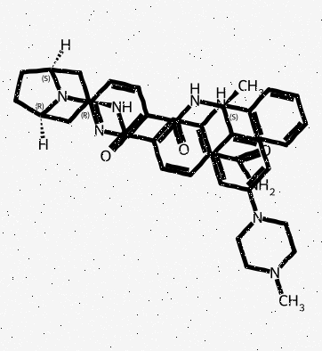 C[C@H](NC(=O)c1ccc(N2[C@@H]3CC[C@H]2C[C@@H](NC(=O)c2ccc(C(N)=O)c(Nc4ccccc4)c2)C3)nc1)c1ccc(N2CCN(C)CC2)cc1